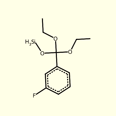 CCOC(O[SiH3])(OCC)c1cccc(F)c1